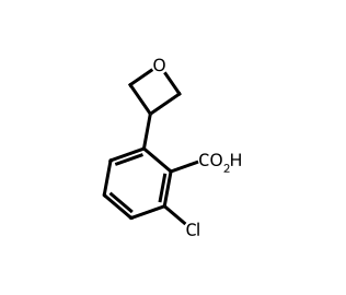 O=C(O)c1c(Cl)cccc1C1COC1